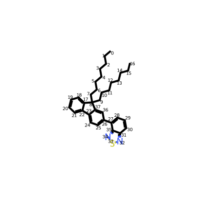 CCCCCCCCC1(CCCCCCCC)c2ccccc2-c2ccc(-c3cccc4nsnc34)cc21